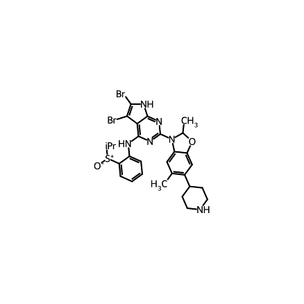 Cc1cc2c(cc1C1CCNCC1)OC(C)N2c1nc(Nc2ccccc2[S+]([O-])C(C)C)c2c(Br)c(Br)[nH]c2n1